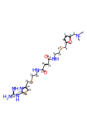 CN(C)Cc1ccc(CSCCNC(=O)/C=C/C(=O)NCCSCc2csc(NC(=N)N)n2)o1